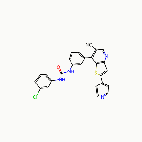 N#Cc1cnc2cc(-c3ccncc3)sc2c1-c1cccc(NC(=O)Nc2cccc(Cl)c2)c1